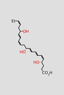 CC/C=C\C[C@@H](O)/C=C/C=C\C[C@@H](O)/C=C/C=C/C=C\[C@@H](O)CCC(=O)O